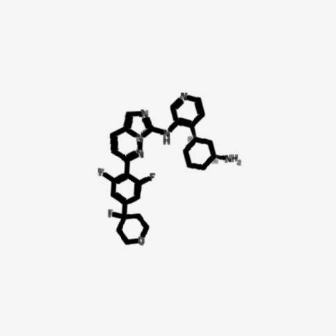 N[C@H]1CCC[C@@H](c2ccncc2Nc2ncc3ccc(-c4c(F)cc(C5(F)CCOCC5)cc4F)nn23)C1